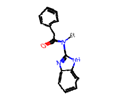 CCN(C(=O)c1ccccc1)c1nc2ccccc2[nH]1